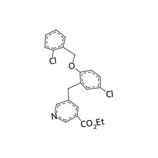 CCOC(=O)c1cncc(Cc2cc(Cl)ccc2OCc2ccccc2Cl)c1